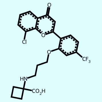 O=C(O)C1(NCCCOc2cc(C(F)(F)F)ccc2-c2cc(=O)c3cccc(Cl)c3o2)CCC1